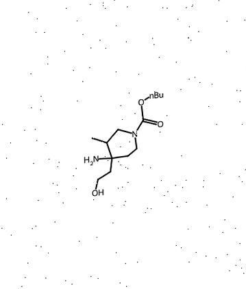 CCCCOC(=O)N1CCC(N)(CCO)C(C)C1